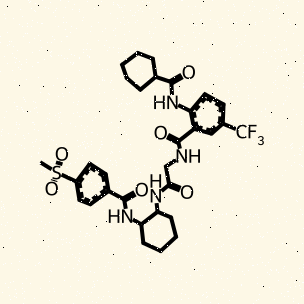 CS(=O)(=O)c1ccc(C(=O)NC2CCCCC2NC(=O)CNC(=O)c2cc(C(F)(F)F)ccc2NC(=O)C2CCCCC2)cc1